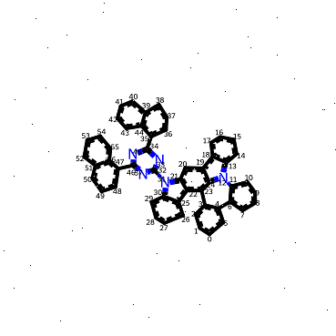 c1ccc2c(c1)-c1ccccc1-n1c3ccccc3c3cc4c(c-2c31)c1ccccc1n4-c1nc(-c2cccc3ccccc23)nc(-c2cccc3ccccc23)n1